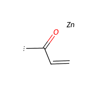 [C]C(=O)C=C.[Zn]